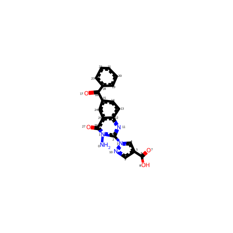 Nn1c(-n2cc(C(=O)O)cn2)nc2ccc(C(=O)c3ccccc3)cc2c1=O